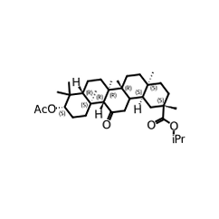 CC(=O)O[C@H]1CC[C@]2(C)[C@H]3C(=O)CC4[C@@H]5C[C@@](C)(C(=O)OC(C)C)CC[C@]5(C)CC[C@@]4(C)[C@]3(C)CC[C@H]2C1(C)C